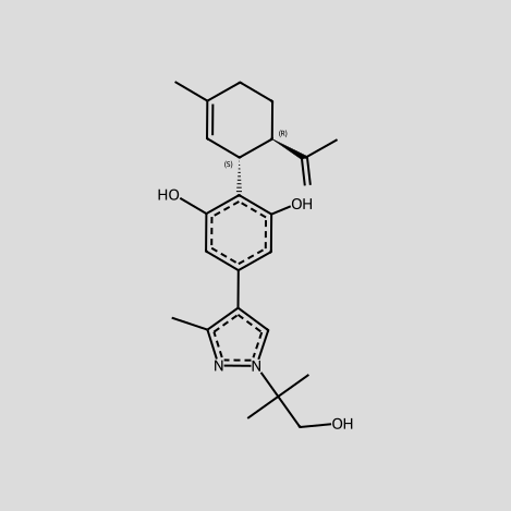 C=C(C)[C@@H]1CCC(C)=C[C@H]1c1c(O)cc(-c2cn(C(C)(C)CO)nc2C)cc1O